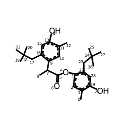 Cc1cc(OC(=O)C(C)c2cc(C)c(O)cc2CC(C)(C)C)c(CC(C)(C)C)cc1O